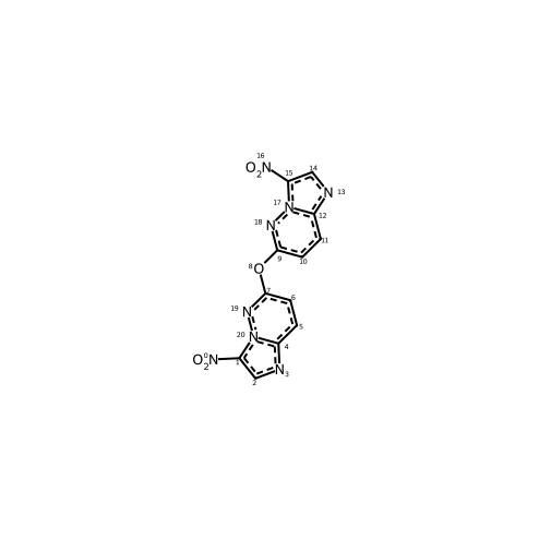 O=[N+]([O-])c1cnc2ccc(Oc3ccc4ncc([N+](=O)[O-])n4n3)nn12